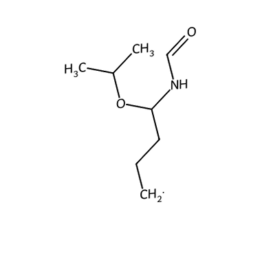 [CH2]CCC(NC=O)OC(C)C